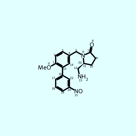 COc1ccc(CN2C(=O)CC[C@H]2CN)cc1-c1cccc(N=O)c1